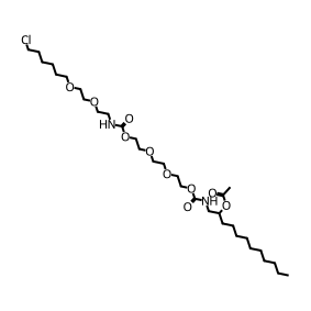 CCCCCCCCCCC(CNC(=O)OCCOCCOCCOC(=O)NCCOCCOCCCCCCCl)OC(C)=O